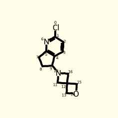 Clc1ccc2c(n1)CCC2N1CC2(COC2)C1